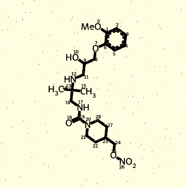 COc1ccccc1OCC(O)CNC(C)(C)CNC(=O)N1CCC(CO[N+](=O)[O-])CC1